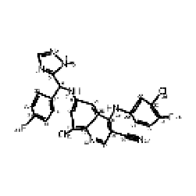 Cn1ncnc1C(Nc1cc(Cl)c2ncc(C#N)c(Nc3ccc(F)c(Cl)c3)c2c1)c1ccc(F)cc1